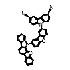 N#Cc1ccc2c(c1)c1cc(C#N)ccc1n2-c1ccc2oc3ccc(-n4c5ccccc5c5ccc6c7ccccc7oc6c54)cc3c2c1